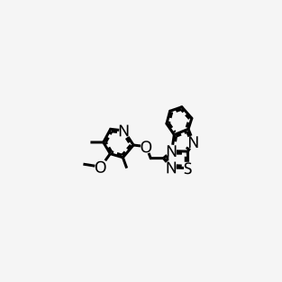 COc1c(C)cnc(OCc2nsc3nc4ccccc4n23)c1C